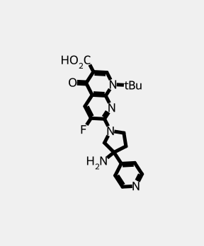 CC(C)(C)n1cc(C(=O)O)c(=O)c2cc(F)c(N3CCC(N)(c4ccncc4)C3)nc21